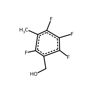 Cc1c(F)c(F)c(F)c(CO)c1F